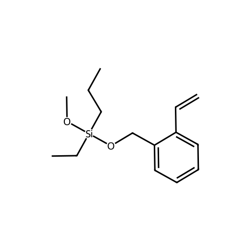 C=Cc1ccccc1CO[Si](CC)(CCC)OC